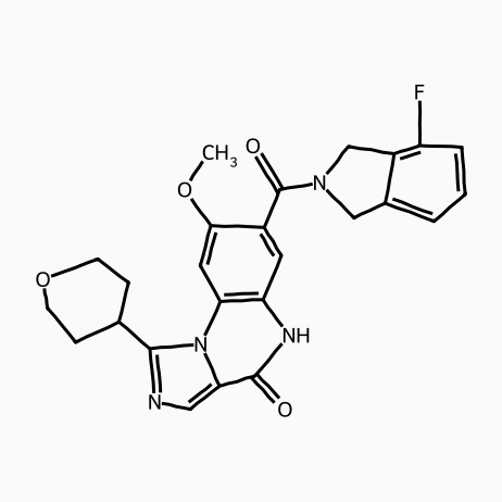 COc1cc2c(cc1C(=O)N1Cc3cccc(F)c3C1)[nH]c(=O)c1cnc(C3CCOCC3)n12